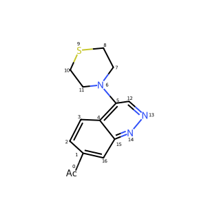 CC(=O)c1ccc2c(N3CCSCC3)cnnc2c1